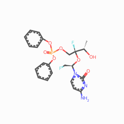 C[C@H](O)[C@@](F)(COP(=O)(Oc1ccccc1)Oc1ccccc1)O[C@H](CF)n1ccc(N)nc1=O